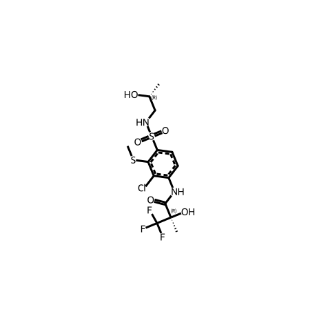 CSc1c(S(=O)(=O)NC[C@@H](C)O)ccc(NC(=O)[C@@](C)(O)C(F)(F)F)c1Cl